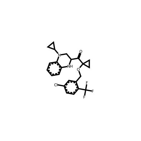 O=C(C1CN(C2CC2)c2ccccc2N1)C1(OCc2cc(Cl)ccc2C(F)(F)F)CC1